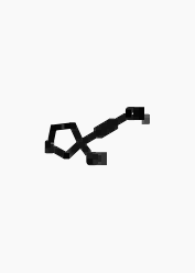 CC#CC1(O)CCSC1